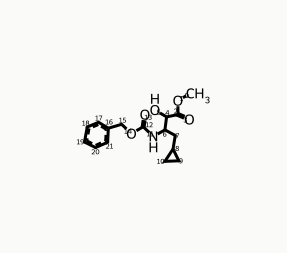 COC(=O)C(O)C(CC1CC1)NC(=O)OCc1ccccc1